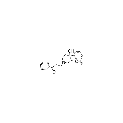 CC1CN(CCC(=O)c2ccccc2)CCC1(C)c1ccccc1